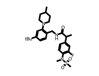 CC1CCN(c2cc(C(C)(C)C)ccc2CNC(=O)C(C)c2ccc(N(C)S(C)(=O)=O)c(F)c2)CC1